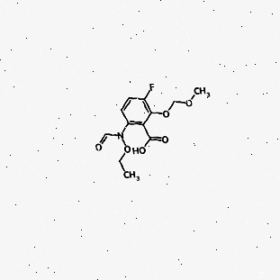 CCON(C=O)c1ccc(F)c(OCOC)c1C(=O)O